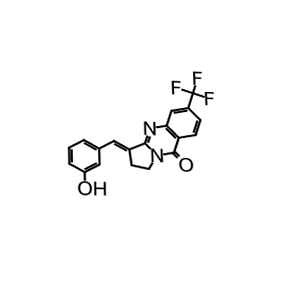 O=c1c2ccc(C(F)(F)F)cc2nc2n1CC/C2=C\c1cccc(O)c1